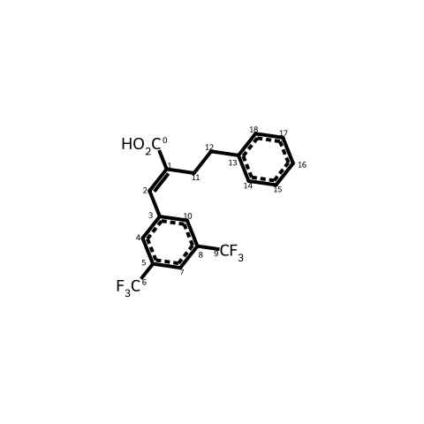 O=C(O)/C(=C/c1cc(C(F)(F)F)cc(C(F)(F)F)c1)CCc1ccccc1